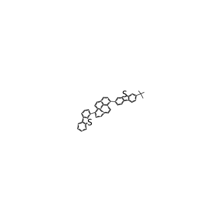 CC(C)(C)c1ccc2c(c1)sc1cc(-c3ccc4ccc5c(-c6cccc7c6sc6ccccc67)ccc6ccc3c4c65)ccc12